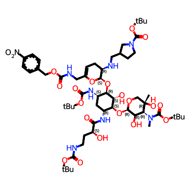 CN(C(=O)OC(C)(C)C)[C@@H]1[C@@H](O)[C@@H](O[C@@H]2[C@@H](O)[C@H](O[C@H]3OC(CNC(=O)OCc4ccc([N+](=O)[O-])cc4)=CC[C@H]3NCC3CCN(C(=O)OC(C)(C)C)C3)[C@@H](NC(=O)OC(C)(C)C)C[C@H]2NC(=O)[C@@H](O)CCNC(=O)OC(C)(C)C)OC[C@]1(C)O